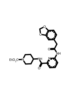 CCOC(=O)N1CCC(NC(=O)c2cccc(NC(=O)Cc3ccc4c(c3)OCO4)n2)CC1